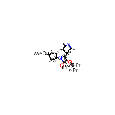 COc1ccc(N2C(=O)[C@H](O[Si](C(C)C)(C(C)C)C(C)C)[C@@H]2c2ccncc2)cc1